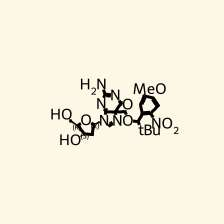 COc1ccc([N+](=O)[O-])c(C(OCC23N=CN([C@H]4C[C@H](O)[C@@H](CO)O4)C2=NC(N)=NC3=O)C(C)(C)C)c1